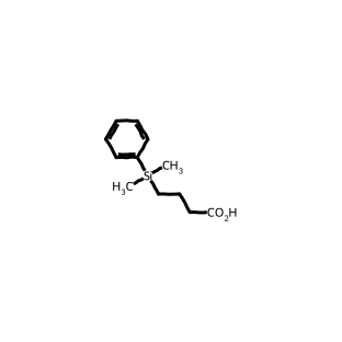 C[Si](C)(CCCC(=O)O)c1ccccc1